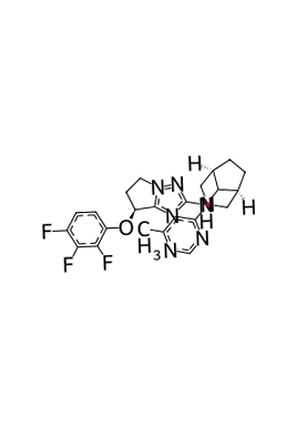 Cc1cc(N2C[C@H]3CC[C@@H](C2)C3Nc2nc3n(n2)CC[C@@H]3Oc2ccc(F)c(F)c2F)ncn1